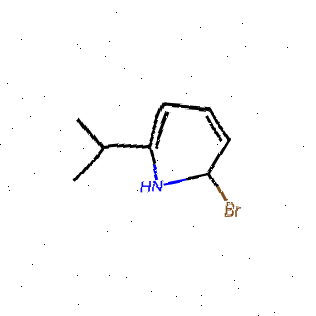 CC(C)C1=CC=CC(Br)N1